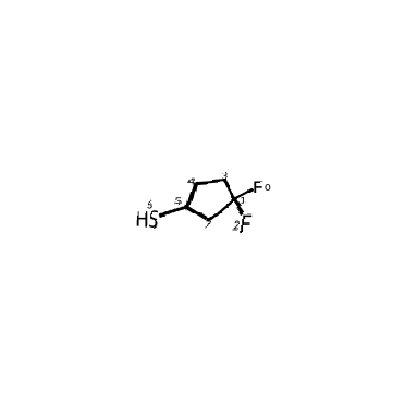 FC1(F)CCC(S)C1